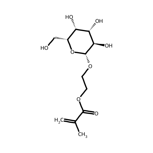 C=C(C)C(=O)OCCO[C@@H]1O[C@H](CO)[C@H](O)[C@H](O)[C@H]1O